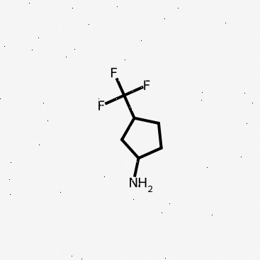 NC1CCC(C(F)(F)F)C1